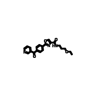 CCOCCCNC(=O)c1coc(-c2ccc(C(=O)c3cccnc3)cc2)n1